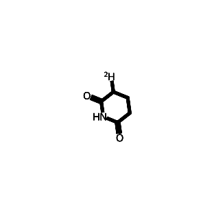 [2H]C1CCC(=O)NC1=O